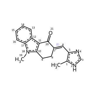 Cc1[nH]cnc1/C=C1\CCc2c(c3ccccc3n2C)C1=O